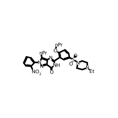 CCCOc1ccc(S(=O)(=O)N2CCN(CC)CC2)cc1-c1nc2c(CCC)n(-c3ccccc3[N+](=O)[O-])nc2c(=O)[nH]1